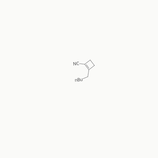 CCCCCC1=C(C#N)CC1